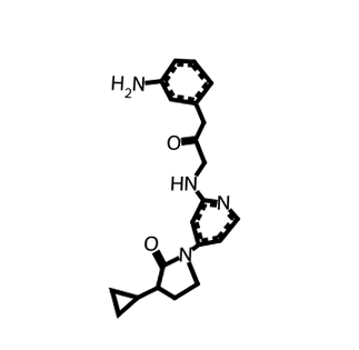 Nc1cccc(CC(=O)CNc2cc(N3CCC(C4CC4)C3=O)ccn2)c1